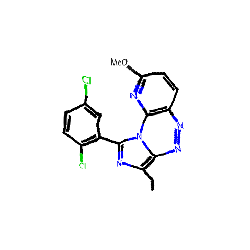 COc1ccc2nnc3c(C)nc(-c4cc(Cl)ccc4Cl)n3c2n1